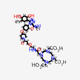 CCNC(=O)c1nnc(C2CC(C(C)C)C(O)CC2O)n1C1CCC(OC2CCN(C(=O)CCOCCNC(=O)CN3CCN(CC(=O)O)CCN(CC(=O)O)CCN(CC(=O)O)CC3)CC2)CC1